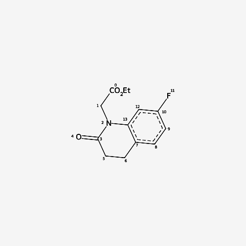 CCOC(=O)CN1C(=O)CCc2ccc(F)cc21